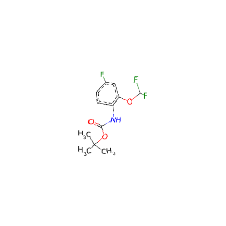 CC(C)(C)OC(=O)Nc1ccc(F)cc1OC(F)F